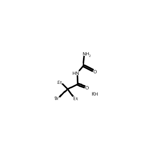 CCC(Br)(CC)C(=O)NC(N)=O.[KH]